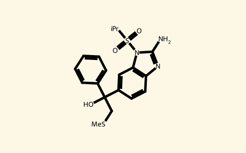 CSCC(O)(c1ccccc1)c1ccc2nc(N)n(S(=O)(=O)C(C)C)c2c1